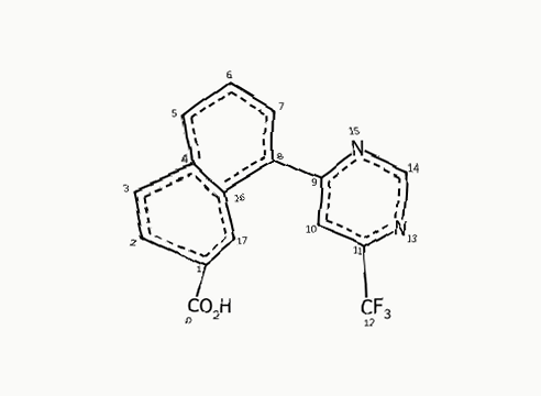 O=C(O)c1ccc2cccc(-c3cc(C(F)(F)F)ncn3)c2c1